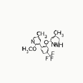 COc1ncc(C)cc1-c1ccc(C(F)(F)F)cc1OC1=NNCCC(C)=C1